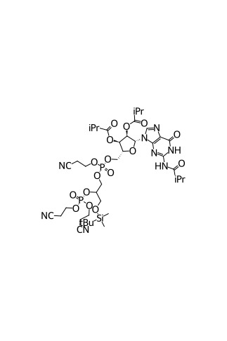 CC(C)C(=O)Nc1nc2c(ncn2[C@@H]2O[C@H](COP(=O)(OCCC#N)OCC(CO[Si](C)(C)C(C)(C)C)OP(=O)(OCCC#N)OCCC#N)[C@@H](OC(=O)C(C)C)[C@H]2OC(=O)C(C)C)c(=O)[nH]1